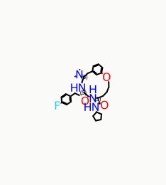 CN(C)[C@@H]1CN[C@@H](CCc2ccc(F)cc2)C(=O)N[C@H](C(=O)NC2CCCC2)CCCCOc2cccc(c2)C1